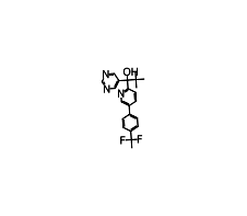 CC(F)(F)c1ccc(-c2ccc(C(O)(c3cncnc3)C(C)(C)C)nc2)cc1